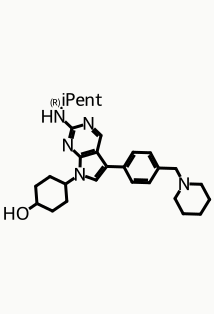 CCC[C@@H](C)Nc1ncc2c(-c3ccc(CN4CCCCC4)cc3)cn(C3CCC(O)CC3)c2n1